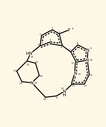 Fc1ccc2cc1-c1cnn3ccc(nc13)NCCN1CCC(CC1)N2